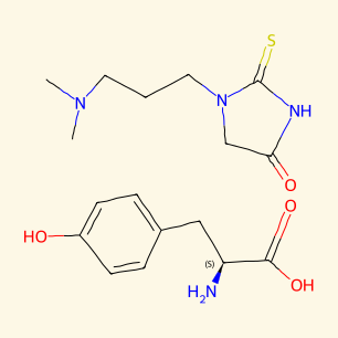 CN(C)CCCN1CC(=O)NC1=S.N[C@@H](Cc1ccc(O)cc1)C(=O)O